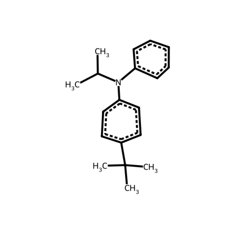 CC(C)N(c1ccccc1)c1ccc(C(C)(C)C)cc1